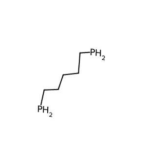 PCCCCCP